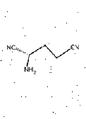 N#CCC[C@H](N)C#N